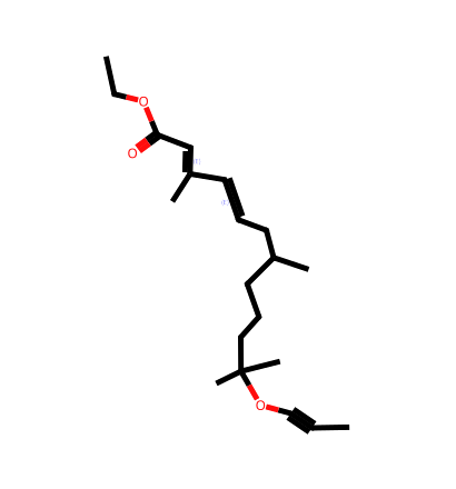 CC#COC(C)(C)CCCC(C)C/C=C/C(C)=C/C(=O)OCC